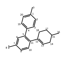 Cc1ccc(-c2cc(I)ccc2C2=CCC(C)CC2)cc1